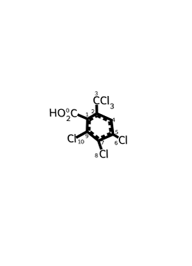 O=C(O)c1c(C(Cl)(Cl)Cl)cc(Cl)c(Cl)c1Cl